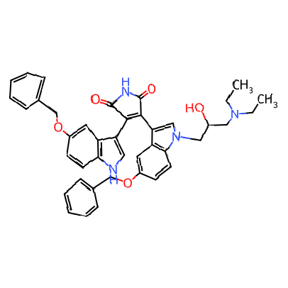 CCN(CC)CC(O)Cn1cc(C2=C(c3c[nH]c4ccc(OCc5ccccc5)cc34)C(=O)NC2=O)c2cc(OCc3ccccc3)ccc21